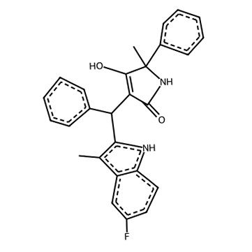 Cc1c(C(C2=C(O)C(C)(c3ccccc3)NC2=O)c2ccccc2)[nH]c2ccc(F)cc12